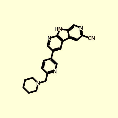 N#Cc1cc2c(cn1)[nH]c1ncc(-c3ccc(CN4CCCCC4)nc3)cc12